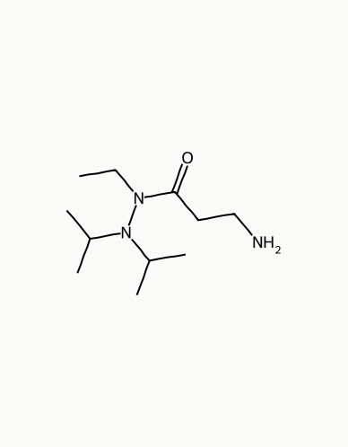 CCN(C(=O)CCN)N(C(C)C)C(C)C